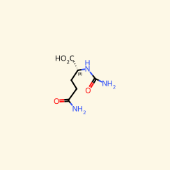 NC(=O)CC[C@@H](NC(N)=O)C(=O)O